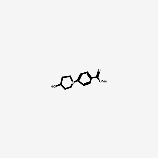 COC(=O)c1ccc(N2CCC(O)CC2)cc1